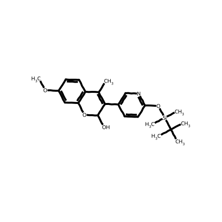 COc1ccc2c(c1)OC(O)C(c1ccc(O[Si](C)(C)C(C)(C)C)nc1)=C2C